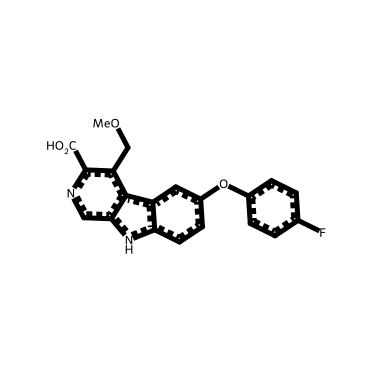 COCc1c(C(=O)O)ncc2[nH]c3ccc(Oc4ccc(F)cc4)cc3c12